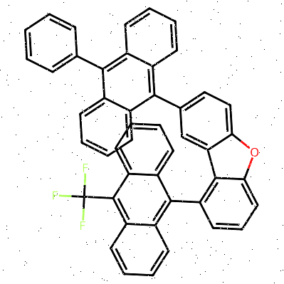 FC(F)(F)c1c2ccccc2c(-c2cccc3oc4ccc(-c5c6ccccc6c(-c6ccccc6)c6ccccc56)cc4c23)c2ccccc12